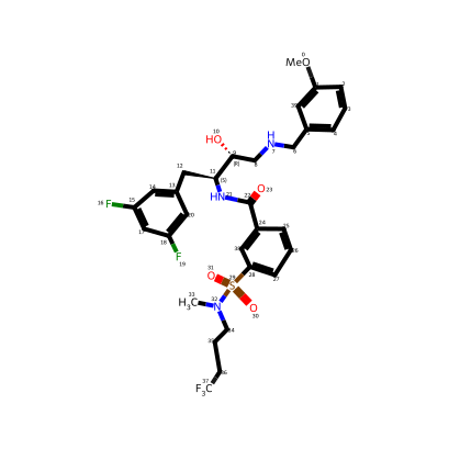 COc1cccc(CNC[C@@H](O)[C@H](Cc2cc(F)cc(F)c2)NC(=O)c2cccc(S(=O)(=O)N(C)CCCC(F)(F)F)c2)c1